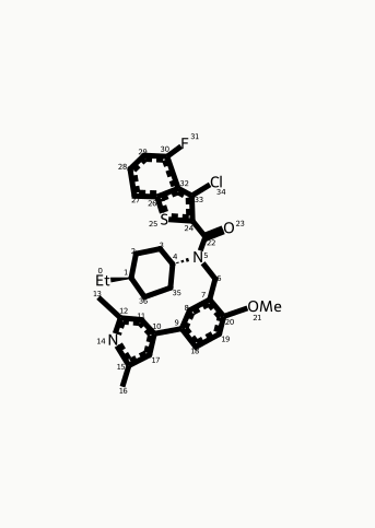 CC[C@H]1CC[C@H](N(Cc2cc(-c3cc(C)nc(C)c3)ccc2OC)C(=O)c2sc3cccc(F)c3c2Cl)CC1